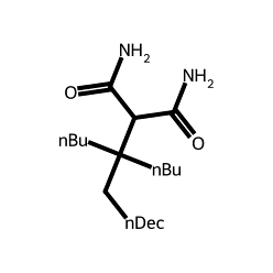 CCCCCCCCCCCC(CCCC)(CCCC)C(C(N)=O)C(N)=O